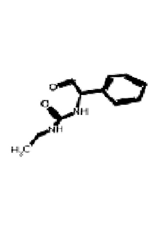 CCNC(=O)N[C@@H]([C]=O)c1ccccc1